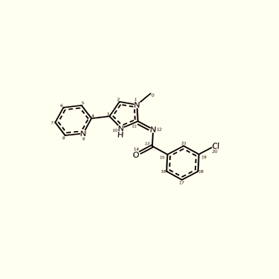 Cn1cc(-c2ccccn2)[nH]/c1=N\C(=O)c1cccc(Cl)c1